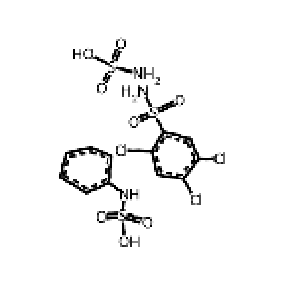 NS(=O)(=O)O.NS(=O)(=O)c1cc(Cl)c(Cl)cc1Cl.O=S(=O)(O)Nc1ccccc1